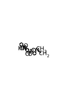 C=CCN(C)C1CCCN(C(=O)c2ccc(NC(=O)c3ccccc3C)cc2Cl)c2ccccc21